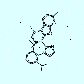 Cc1ccc2c(n1)oc1c(-c3nccn3-c3c(C(C)C)cccc3C(C)C)c(C)cc(C)c12